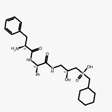 CC(C)[C@@H](NC(=O)[C@@H](N)Cc1ccccc1)C(=O)NC[C@H](O)CP(=O)(O)CC1CCCCC1